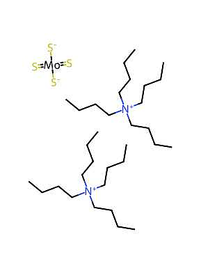 CCCC[N+](CCCC)(CCCC)CCCC.CCCC[N+](CCCC)(CCCC)CCCC.[S]=[Mo](=[S])([S-])[S-]